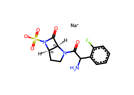 NC(C(=O)N1CC[C@@H]2[C@H]1C(=O)N2S(=O)(=O)[O-])c1ccccc1F.[Na+]